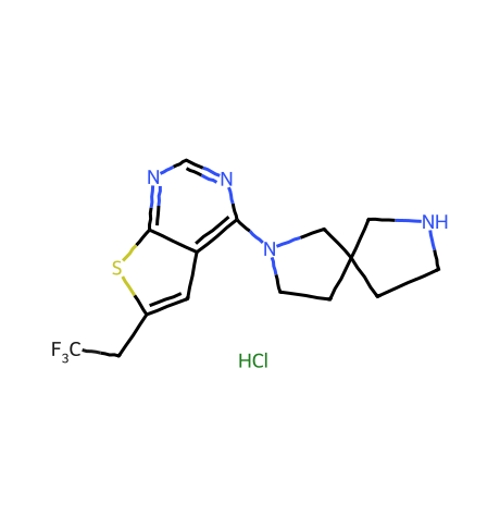 Cl.FC(F)(F)Cc1cc2c(N3CCC4(CCNC4)C3)ncnc2s1